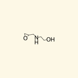 OCCNCC1CO1